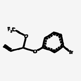 C=CC(Oc1cccc(Br)c1)OC(F)(F)F